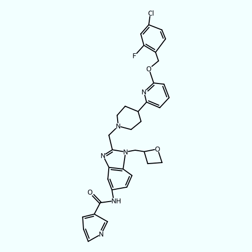 O=C(Nc1ccc2c(c1)nc(CN1CCC(c3cccc(OCc4ccc(Cl)cc4F)n3)CC1)n2CC1CCO1)c1cccnc1